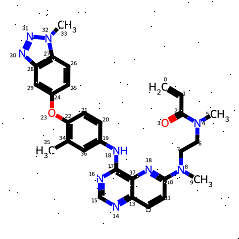 C=CC(=O)N(C)CCN(C)c1ccc2ncnc(Nc3ccc(Oc4ccc5c(c4)nnn5C)c(C)c3)c2n1